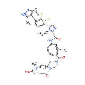 Cc1n[nH]c(C)c1-c1ccc(-c2cnc(C(=O)Nc3ccc(C(=O)N4CCN(C(=O)C5C[C@@H](O)C[N+]5(C)C)CC4)c(Cl)c3)n2C)c(F)c1F